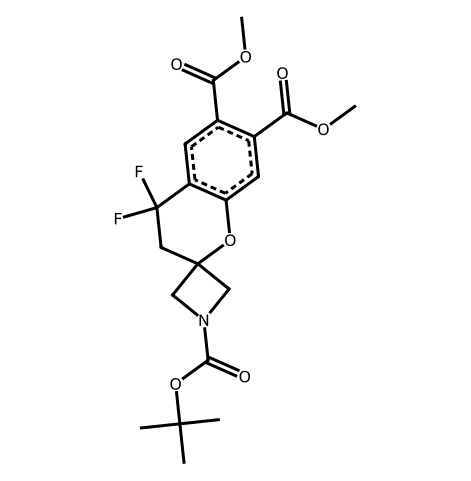 COC(=O)c1cc2c(cc1C(=O)OC)C(F)(F)CC1(CN(C(=O)OC(C)(C)C)C1)O2